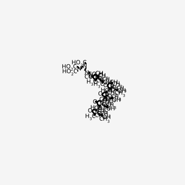 CC(C)(O)CON1C(C)(C)CC(=O)CC1(C)C.CC(C)(O)CON1C(C)(C)CC(=O)CC1(C)C.CC(C)(O)CON1C(C)(C)CC(=O)CC1(C)C.CC(C)(O)CON1C(C)(C)CC(=O)CC1(C)C.CC(C)(O)CON1C(C)(C)CC(=O)CC1(C)C.O=C(O)CN(CCN(CC(=O)O)CC(=O)O)CCN(CC(=O)O)CC(=O)O